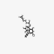 Cc1cc(Cl)ncc1/C(=N\C(C)C(C)(C)N=[N+]=[N-])OC(C)CCSC1CC1